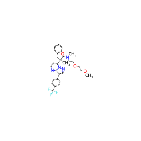 COCCOCCN(C)C(=O)[C@](C)(Cc1ccccc1)c1ccnc2c(-c3ccc(C(F)(F)F)cc3)cnn12